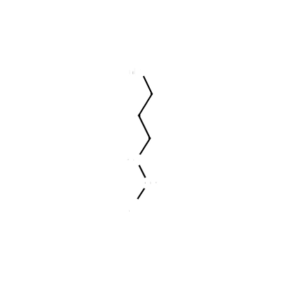 CCCCCCOO[O]